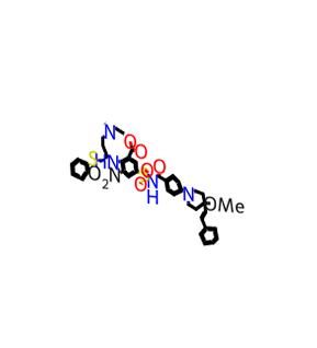 COC1(C=Cc2ccccc2)CCN(c2ccc(C(=O)NS(=O)(=O)c3cc4c(c([N+](=O)[O-])c3)N[C@@H](CSc3ccccc3)CCN(C)CCOC4=O)cc2)CC1